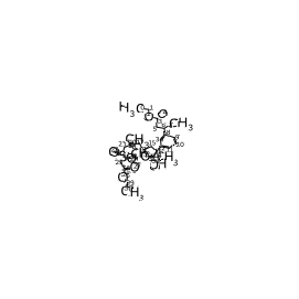 CCOC(=O)CC(C)c1cccc(C(C)(CCCC(C)(C)CS(=O)(=O)CC(=O)OCC)C(=O)O)c1